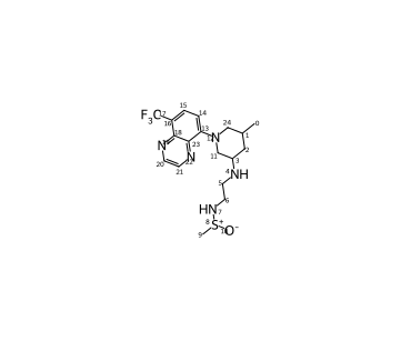 CC1CC(NCCN[S+](C)[O-])CN(c2ccc(C(F)(F)F)c3nccnc23)C1